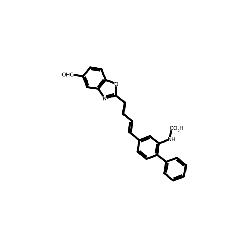 O=Cc1ccc2oc(CCC=Cc3ccc(-c4ccccc4)c(NC(=O)O)c3)nc2c1